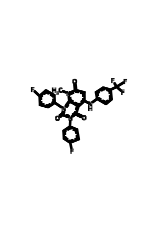 Cn1c(=O)cc(Nc2ccc(C(F)(F)F)cc2)c2c(=O)n(-c3ccc(F)cc3)c(=O)n(-c3ccc(F)cc3)c21